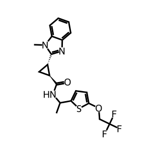 CC(NC(=O)[C@H]1C[C@@H]1c1nc2ccccc2n1C)c1ccc(OCC(F)(F)F)s1